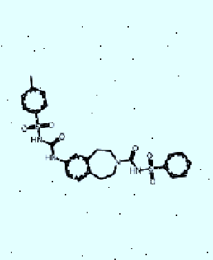 Cc1ccc(S(=O)(=O)NC(=O)Nc2ccc3c(c2)CCN(C(=O)NS(=O)(=O)c2ccccc2)CC3)cc1